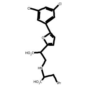 CC(C)CC(NCC(C(=O)O)c1ccc(-c2cc(Cl)cc(Cl)c2)o1)C(=O)O